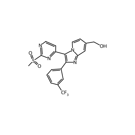 CS(=O)(=O)c1nccc(-c2c(-c3cccc(C(F)(F)F)c3)nc3cc(CO)ccn23)n1